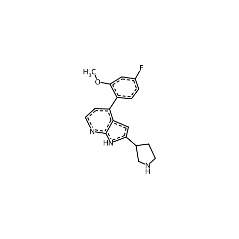 COc1cc(F)ccc1-c1ccnc2[nH]c(C3CCNC3)cc12